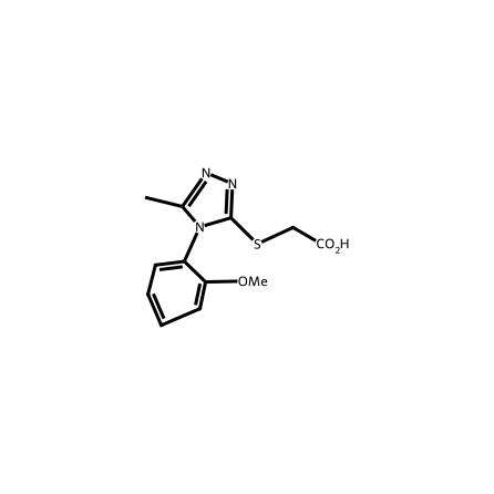 COc1ccccc1-n1c(C)nnc1SCC(=O)O